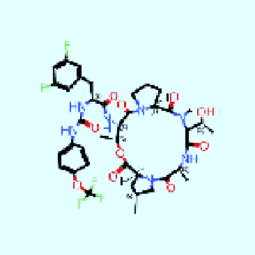 C[C@H]1C[C@H]2C(=O)O[C@@H](C)[C@H](NC(=O)[C@H](Cc3cc(F)cc(F)c3)NC(=O)Nc3ccc(OC(F)(F)F)cc3)C(=O)N3CCC[C@H]3C(=O)N(C)C([C@H](C)O)C(=O)N[C@@H](C)C(=O)N2C1